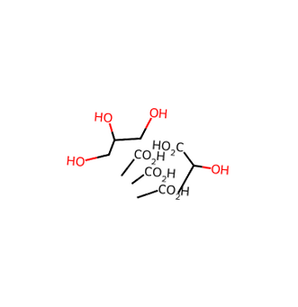 CC(=O)O.CC(=O)O.CC(=O)O.CC(O)C(=O)O.OCC(O)CO